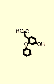 O=C(O)Cc1ccc(O)cc1Oc1ccccc1